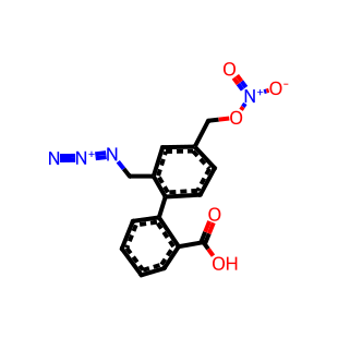 [N-]=[N+]=NCc1cc(CO[N+](=O)[O-])ccc1-c1ccccc1C(=O)O